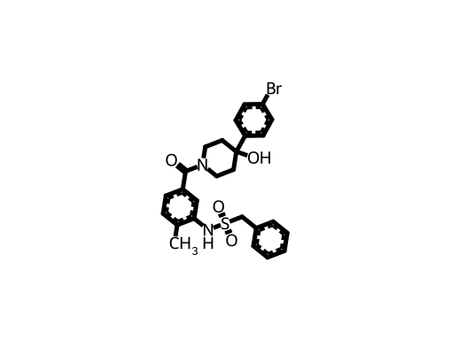 Cc1ccc(C(=O)N2CCC(O)(c3ccc(Br)cc3)CC2)cc1NS(=O)(=O)Cc1ccccc1